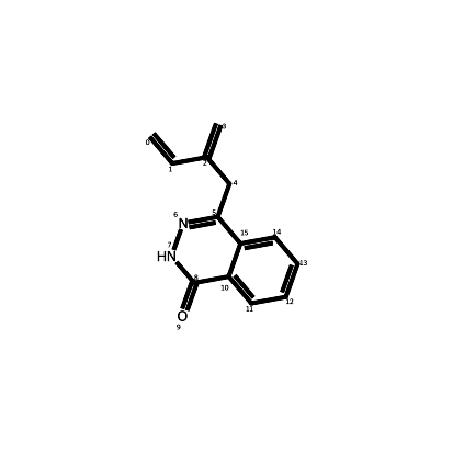 C=CC(=C)Cc1n[nH]c(=O)c2ccccc12